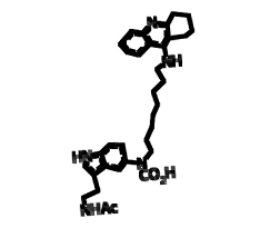 CC(=O)NCCc1c[nH]c2ccc(N(CCCCCCCCNc3c4c(nc5ccccc35)CCCC4)C(=O)O)cc12